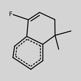 CC1(C)CC=C(F)c2ccccc21